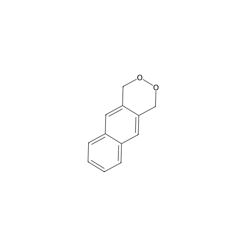 c1ccc2cc3c(cc2c1)COOC3